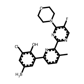 Bc1cc(Cl)c(O)c(-c2ccc(C)c(-c3ncc(F)c(N4CCOCC4)n3)n2)c1